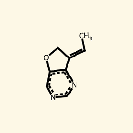 CC=C1COc2cncnc21